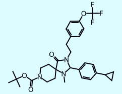 CN1C(c2ccc(C3CC3)cc2)N(CCc2ccc(OC(F)(F)F)cc2)C(=O)C12CCN(C(=O)OC(C)(C)C)CC2